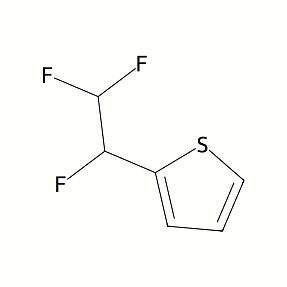 FC(F)C(F)c1cccs1